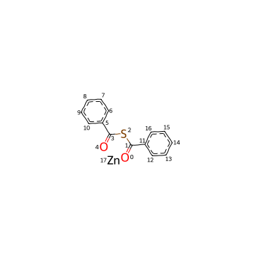 O=C(SC(=O)c1ccccc1)c1ccccc1.[Zn]